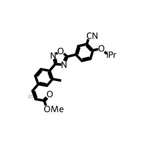 COC(=O)/C=C\c1ccc(-c2noc(-c3ccc(OC(C)C)c(C#N)c3)n2)c(C)c1